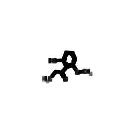 CCC(=O)c1c(O)cccc1OC